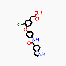 O=C(O)Cc1ccc(Oc2ccc(NC(=O)c3ccc4[nH]ccc4c3)cc2)c(Cl)c1